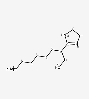 CCCCCCCCCCCCC(CO)C1=NCCN1